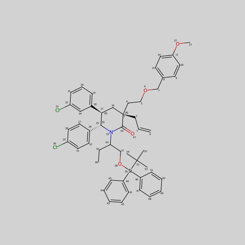 C=CC[C@]1(CCOCc2ccc(OC)cc2)C[C@H](c2cccc(Cl)c2)[C@@H](c2ccc(Cl)cc2)N(C(CC)CO[Si](c2ccccc2)(c2ccccc2)C(C)(C)C)C1=O